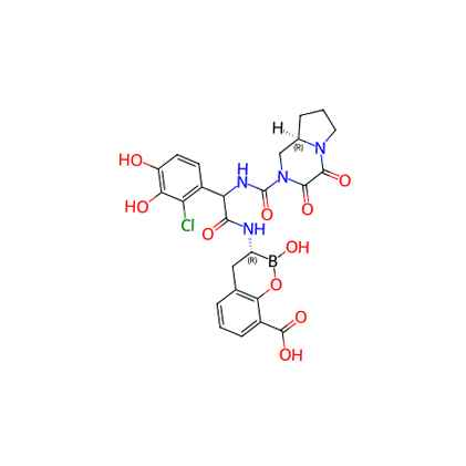 O=C(O)c1cccc2c1OB(O)[C@@H](NC(=O)C(NC(=O)N1C[C@H]3CCCN3C(=O)C1=O)c1ccc(O)c(O)c1Cl)C2